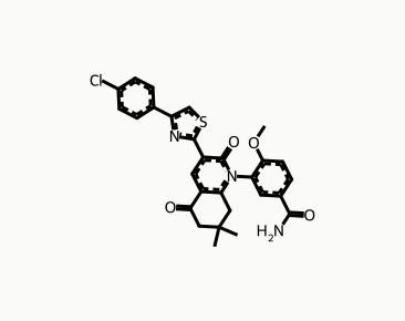 COc1ccc(C(N)=O)cc1-n1c2c(cc(-c3nc(-c4ccc(Cl)cc4)cs3)c1=O)C(=O)CC(C)(C)C2